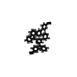 N#Cc1ccc(-c2ccccc2-c2ccccc2-c2cc(-n3c4ccccc4c4ccccc43)nc(-n3c4ccccc4c4cc(C#N)ccc43)c2)cc1